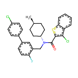 C[C@H]1CC[C@H](N(Cc2cc(-c3ccc(Cl)cc3)ccc2F)C(=O)c2sc3ccccc3c2Cl)CC1